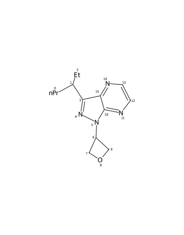 CCCC(CC)c1nn(C2COC2)c2nccnc12